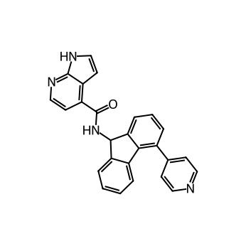 O=C(NC1c2ccccc2-c2c(-c3ccncc3)cccc21)c1ccnc2[nH]ccc12